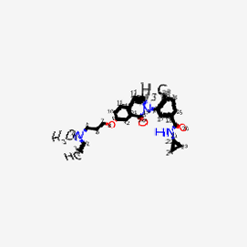 C#CCN(C)CCCOc1ccc2ccn(-c3cc(C(=O)NC4CC4)ccc3C)c(=O)c2c1